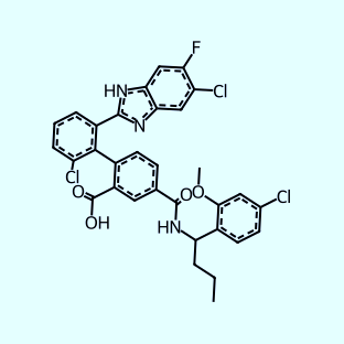 CCCC(NC(=O)c1ccc(-c2c(Cl)cccc2-c2nc3cc(Cl)c(F)cc3[nH]2)c(C(=O)O)c1)c1ccc(Cl)cc1OC